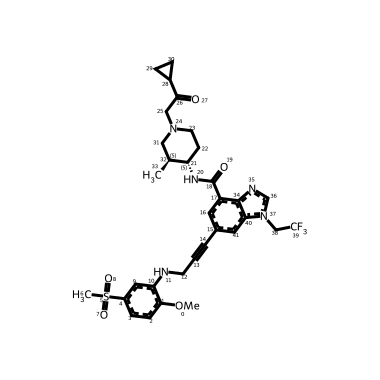 COc1ccc(S(C)(=O)=O)cc1NCC#Cc1cc(C(=O)N[C@H]2CCN(CC(=O)C3CC3)C[C@@H]2C)c2ncn(CC(F)(F)F)c2c1